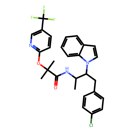 CC(NC(=O)C(C)(C)Oc1ccc(C(F)(F)F)cn1)C(Cc1ccc(Cl)cc1)n1ccc2ccccc21